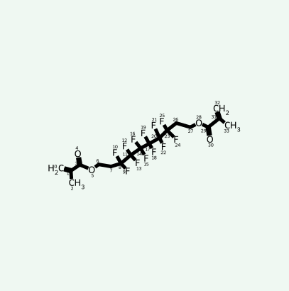 C=C(C)C(=O)OCCC(F)(F)C(F)(F)C(F)(F)C(F)(F)C(F)(F)C(F)(F)CCOC(=O)C(=C)C